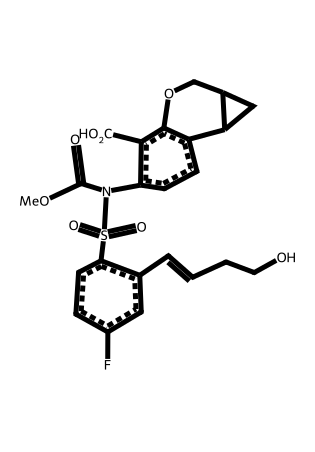 COC(=O)N(c1ccc2c(c1C(=O)O)OCC1CC21)S(=O)(=O)c1ccc(F)cc1C=CCCO